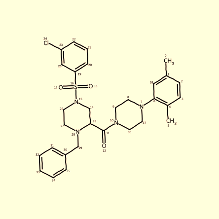 Cc1ccc(C)c(N2CCN(C(=O)C3CN(S(=O)(=O)c4cccc(Cl)c4)CCN3Cc3ccccc3)CC2)c1